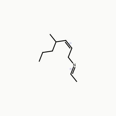 C/C=N/C/C=C\C(C)CCC